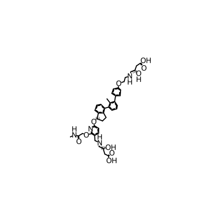 CNC(=O)COc1nc(O[C@H]2CCc3c(-c4cccc(-c5ccc(OCCNC[C@@H](O)CC(=O)O)cc5)c4C)cccc32)ccc1CNC[C@@H](O)CC(=O)O